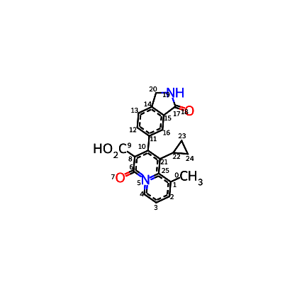 Cc1cccn2c(=O)c(C(=O)O)c(-c3ccc4c(c3)C(=O)NC4)c(C3CC3)c12